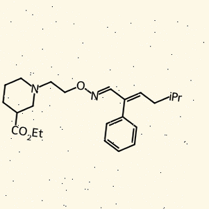 CCOC(=O)C1CCCN(CCON=CC(=CCC(C)C)c2ccccc2)C1